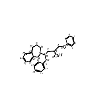 O[C@H](COc1ccccc1)CN(Cc1ccccc1)C1CCCc2ccccc2C1